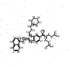 CC(C)CCN(CCC(C)C)C(=O)c1ccc2nc(NCc3cccc4ccccc34)n(CCCN3CCCCC3)c2c1